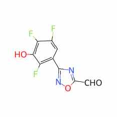 O=Cc1nc(-c2cc(F)c(F)c(O)c2F)no1